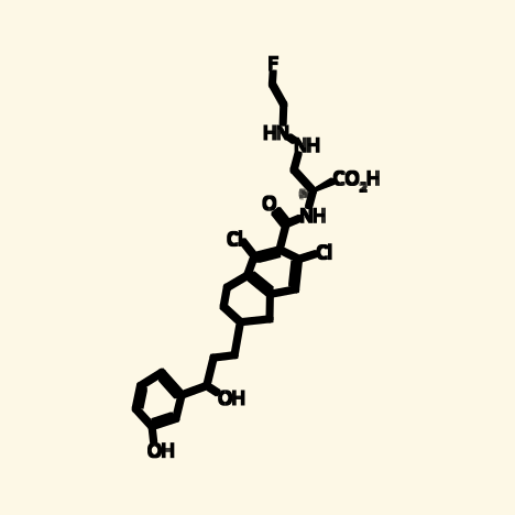 O=C(N[C@@H](CNNCCF)C(=O)O)c1c(Cl)cc2c(c1Cl)CCC(CCC(O)c1cccc(O)c1)C2